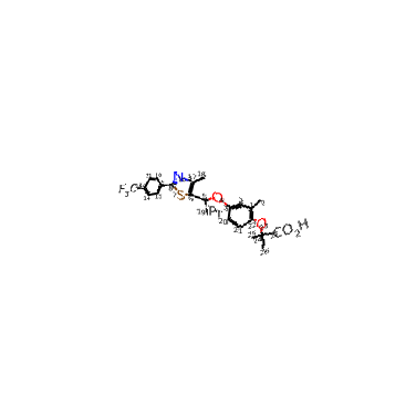 Cc1cc(OC(c2sc(-c3ccc(C(F)(F)F)cc3)nc2C)C(C)C)ccc1OC(C)(C)C(=O)O